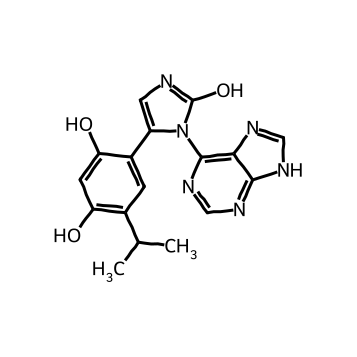 CC(C)c1cc(-c2cnc(O)n2-c2ncnc3[nH]cnc23)c(O)cc1O